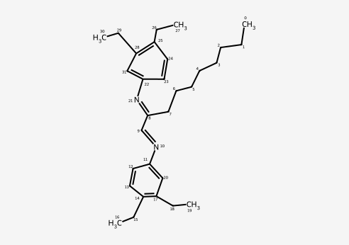 CCCCCCCCC(/C=N/c1ccc(CC)c(CC)c1)=N\c1ccc(CC)c(CC)c1